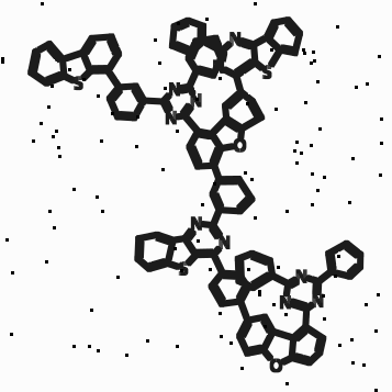 c1ccc(-c2nc(-c3ccccc3)nc(-c3cccc4oc5ccc(-c6ccc(-c7nc(-c8cccc(-c9ccc(-c%10nc(-c%11ccccc%11)nc(-c%11cccc(-c%12cccc%13c%12sc%12ccccc%12%13)c%11)n%10)c%10c9oc9ccc(-c%11nc(-c%12ccccc%12)nc%12c%11sc%11ccccc%11%12)cc9%10)c8)nc8c7sc7ccccc78)cc6)cc5c34)n2)cc1